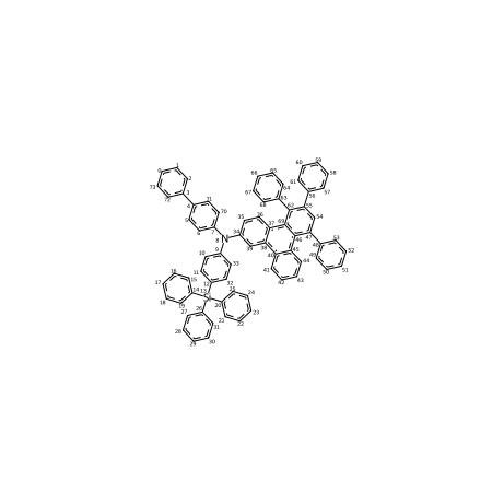 c1ccc(-c2ccc(N(c3ccc([Si](c4ccccc4)(c4ccccc4)c4ccccc4)cc3)c3ccc4c(c3)c3ccccc3c3c(-c5ccccc5)cc(-c5ccccc5)c(-c5ccccc5)c43)cc2)cc1